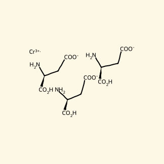 N[C@@H](CC(=O)[O-])C(=O)O.N[C@@H](CC(=O)[O-])C(=O)O.N[C@@H](CC(=O)[O-])C(=O)O.[Cr+3]